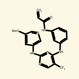 C=CC(=O)Nc1cccc(Nc2nc(Nc3cncc(OC)c3)ncc2C(F)(F)F)c1